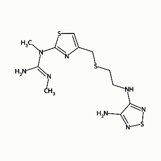 CN=C(N)N(C)c1nc(CSCCNc2nsnc2N)cs1